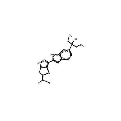 CCC(O)(CC)c1ccc2cc(-c3n[nH]c4c3SC(C(F)F)C4)[nH]c2c1